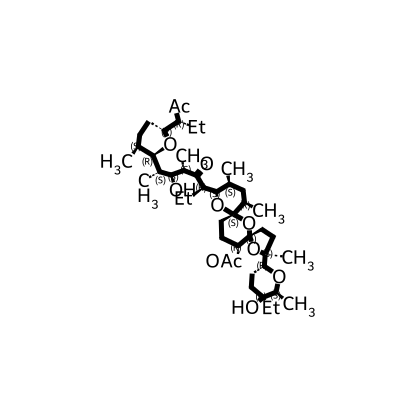 CC[C@@H](C(=O)[C@@H](C)[C@@H](O)[C@H](C)[C@@H]1O[C@@H]([C@@H](CC)C(C)=O)CC[C@@H]1C)[C@H]1O[C@]2(CC[C@@H](OC(C)=O)[C@]3(CC[C@@](C)([C@H]4CC[C@](O)(CC)[C@H](C)O4)O3)O2)[C@H](C)C[C@@H]1C